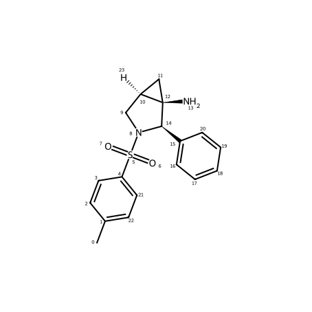 Cc1ccc(S(=O)(=O)N2C[C@H]3C[C@]3(N)[C@H]2c2ccccc2)cc1